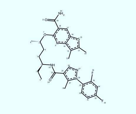 CC[C@@H](CC[C@H](C)Oc1nc2c(C)c(C)sc2cc1C(N)=O)NC(=O)c1cnn(-c2ccc(F)cc2F)c1C